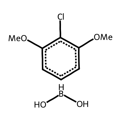 COc1cccc(OC)c1Cl.OBO